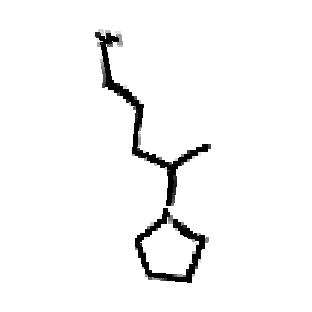 CC(CCCS)N1CCCC1